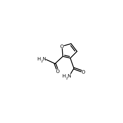 NC(=O)c1ccoc1C(N)=O